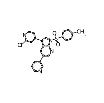 Cc1ccc(S(=O)(=O)n2cc(-c3ccnc(Cl)c3)c3cc(-c4cccnc4)cnc32)cc1